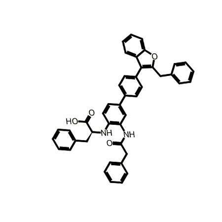 O=C(Cc1ccccc1)Nc1cc(-c2ccc(-c3c(Cc4ccccc4)oc4ccccc34)cc2)ccc1N[C@@H](Cc1ccccc1)C(=O)O